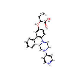 CCC(Oc1ccc(N2CCN(c3ccncc3)CC2)c(-c2ccccc2)c1)C(=O)O